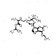 CCOc1nc(N)nc2c1ncn2[C@@H](CF)O[C@](F)(COCNC(C)C(=O)OC(C)C)[C@H](C)O